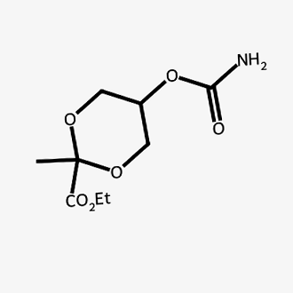 CCOC(=O)C1(C)OCC(OC(N)=O)CO1